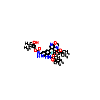 Cc1c(-c2cc3cc(NC(=O)O[C@H]4C[C@@](C)(O)[C@H]4C)ncc3c(NC(=O)OC(C)(C)C)c2F)cnc2c1N(C(=O)OC(C)(C)C)CCO2